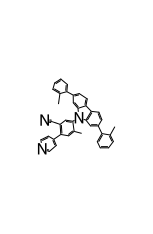 Cc1ccccc1-c1ccc2c3ccc(-c4ccccc4C)cc3n(-c3cc(C#N)c(-c4ccncc4)cc3C)c2c1